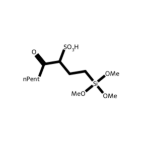 CCCCCC(=O)C(CC[Si](OC)(OC)OC)S(=O)(=O)O